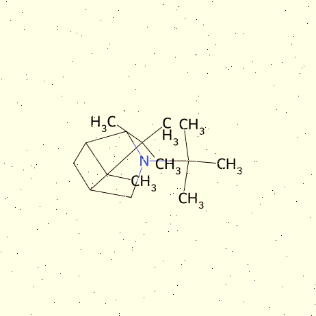 CC(C)(C)N1CC2CC(C1)C2(C)C(C)(C)C